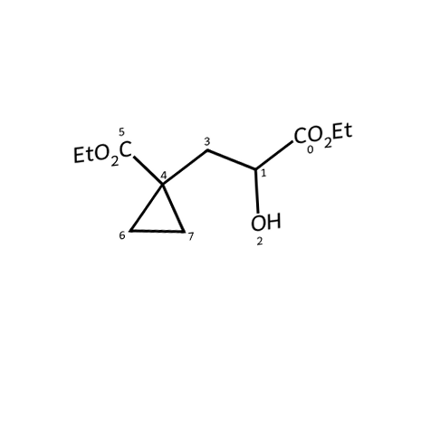 CCOC(=O)C(O)CC1(C(=O)OCC)CC1